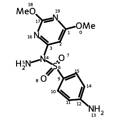 COc1cc(N(N)S(=O)(=O)c2ccc(N)cc2)nc(OC)n1